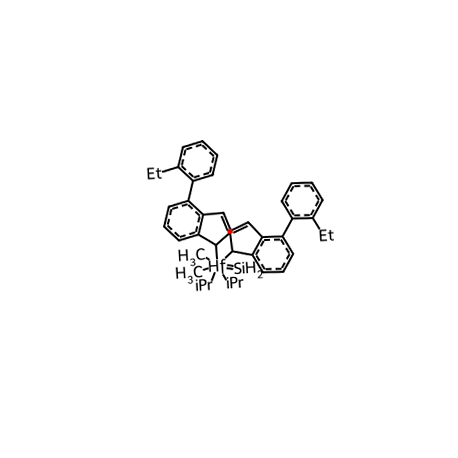 CCc1ccccc1-c1cccc2c1C=C[CH]2[Hf]([CH3])([CH3])(=[SiH2])([CH](C)C)([CH](C)C)[CH]1C=Cc2c(-c3ccccc3CC)cccc21